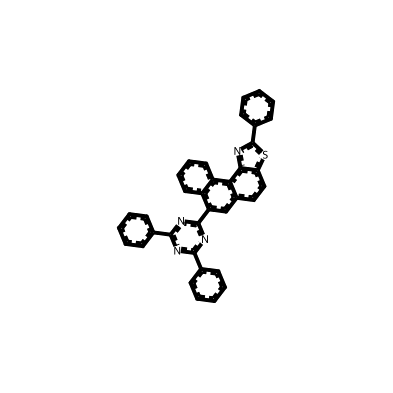 c1ccc(-c2nc(-c3ccccc3)nc(-c3cc4ccc5sc(-c6ccccc6)nc5c4c4ccccc34)n2)cc1